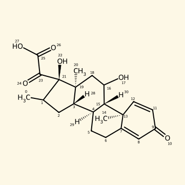 CC1C[C@H]2[C@@H]3CCC4=CC(=O)C=C[C@]4(C)[C@H]3C(O)C[C@]2(C)[C@@]1(O)C(=O)C(=O)O